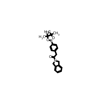 CC1(C)OB(c2ccc(CC(=O)N3Cc4ccccc4C3)cc2)OC1(C)C